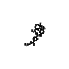 CCOC(=O)c1ccc(C(=O)Nc2ccc(F)c([C@@]3(C)N=C(N)COCC3(F)F)c2)nc1